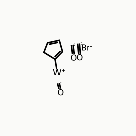 [Br-].[C]=O.[C]=O.[C]=O.[W+][C]1=CC=CC1